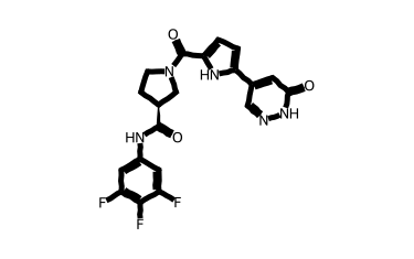 O=C(Nc1cc(F)c(F)c(F)c1)[C@H]1CCN(C(=O)c2ccc(-c3cn[nH]c(=O)c3)[nH]2)C1